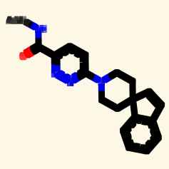 CC(=O)NNC(=O)c1ccc(N2CCC3(C=Cc4ccccc43)CC2)nn1